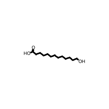 O=C(O)[CH]CCCCCCCCCC[CH]O